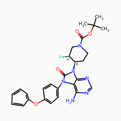 CC(C)(C)OC(=O)N1CC[C@@H](n2c(=O)n(-c3ccc(Oc4ccccc4)cc3)c3c(N)ncnc32)[C@@H](F)C1